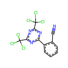 N#Cc1ccccc1-c1nc(C(Cl)(Cl)Cl)nc(C(Cl)(Cl)Cl)n1